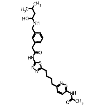 CC(=O)Nc1ccc(CCCCc2nnc(NC(=O)Cc3cccc(CNC(O)CC(C)C)c3)s2)nn1